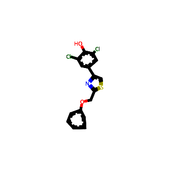 Oc1c(Cl)cc(-c2csc(COc3ccccc3)n2)cc1Cl